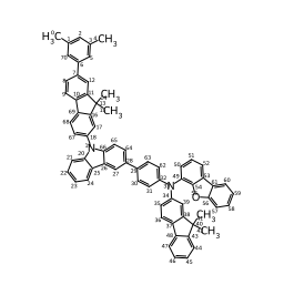 Cc1cc(C)cc(-c2ccc3c(c2)C(C)(C)c2cc(-n4c5ccccc5c5cc(-c6ccc(N(c7ccc8c(c7)C(C)(C)c7ccccc7-8)c7cccc8c7oc7ccccc78)cc6)ccc54)ccc2-3)c1